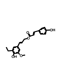 CCc1cc(/C=C/COC(=O)/C=C/c2ccc(O)cc2)cc(OC)c1O